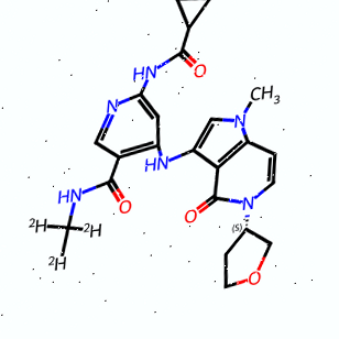 [2H]C([2H])([2H])NC(=O)c1cnc(NC(=O)C2CC2)cc1Nc1cn(C)c2ccn([C@H]3CCOC3)c(=O)c12